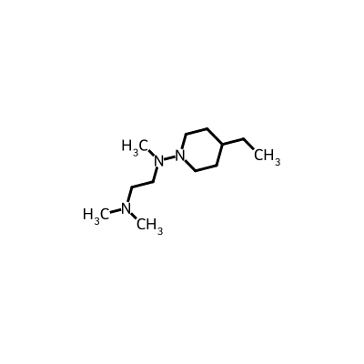 CCC1CCN(N(C)CCN(C)C)CC1